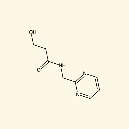 O=C(CCO)NCc1ncccn1